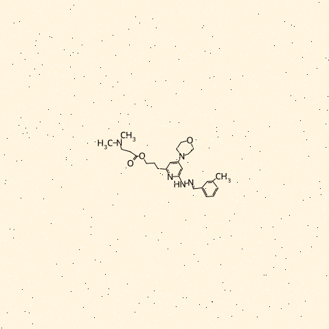 Cc1cccc(C=NNc2cc(N3CCOCC3)cc(CCCOC(=O)CCN(C)C)n2)c1